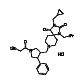 CC(C)CN1C(=O)N(CC2CC2)C(=O)C12CCN(CC1CN(C(=O)CC(C)(C)C)CC1c1ccccc1)CC2.Cl